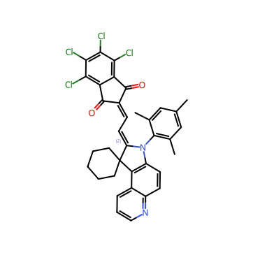 Cc1cc(C)c(N2/C(=C\C=C3C(=O)c4c(Cl)c(Cl)c(Cl)c(Cl)c4C3=O)C3(CCCCC3)c3c2ccc2ncccc32)c(C)c1